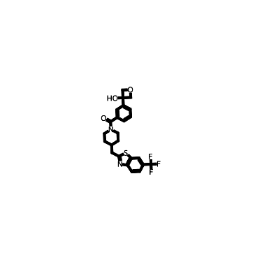 O=C(c1cccc(C2(O)COC2)c1)N1CCC(Cc2nc3ccc(C(F)(F)F)cc3s2)CC1